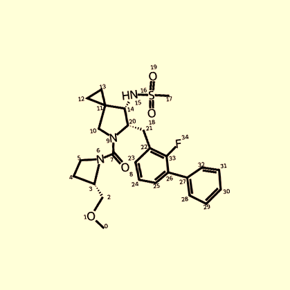 COC[C@@H]1CCN1C(=O)N1CC2(CC2)[C@H](NS(C)(=O)=O)[C@@H]1Cc1cccc(-c2ccccc2)c1F